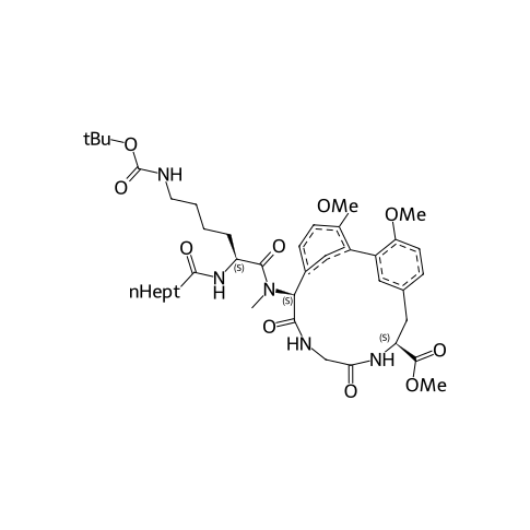 CCCCCCCC(=O)N[C@@H](CCCCNC(=O)OC(C)(C)C)C(=O)N(C)[C@@H]1C(=O)NCC(=O)N[C@H](C(=O)OC)Cc2ccc(OC)c(c2)-c2cc1ccc2OC